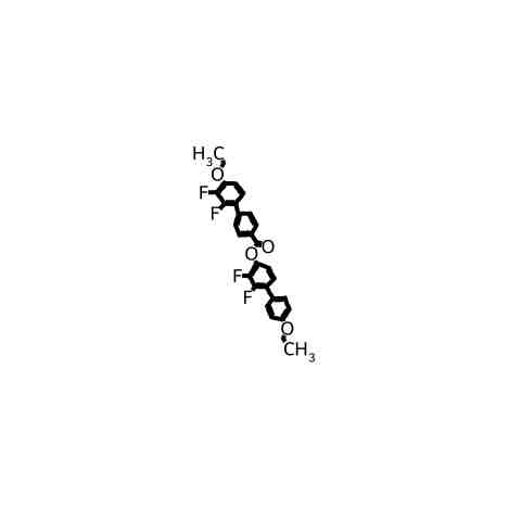 CCOc1ccc(-c2ccc(OC(=O)c3ccc(-c4ccc(OCC)c(F)c4F)cc3)c(F)c2F)cc1